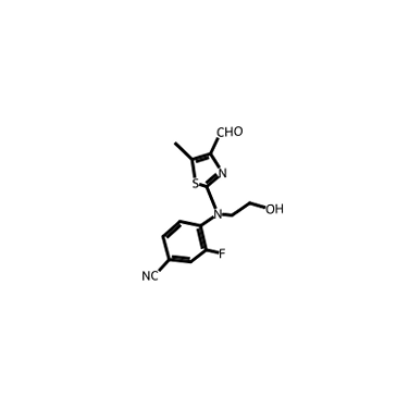 Cc1sc(N(CCO)c2ccc(C#N)cc2F)nc1C=O